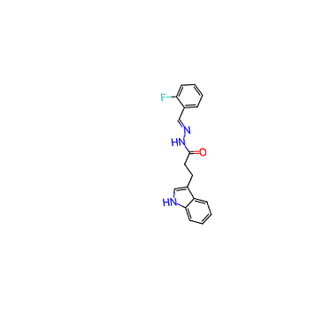 O=C(CCc1c[nH]c2ccccc12)N/N=C/c1ccccc1F